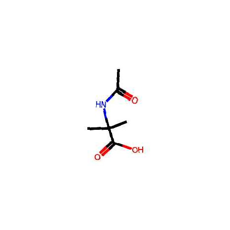 CC(=O)NC(C)(C)C(=O)O